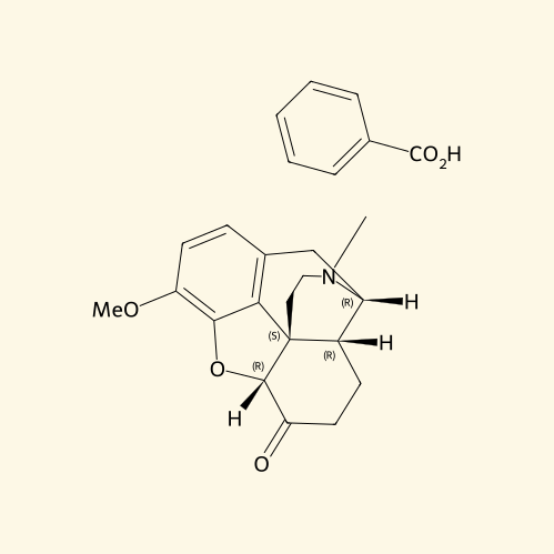 COc1ccc2c3c1O[C@H]1C(=O)CC[C@H]4[C@@H](C2)N(C)CC[C@]314.O=C(O)c1ccccc1